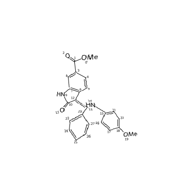 COC(=O)c1ccc2c(c1)NC(=O)C2=C(Nc1ccc(OC)cc1)c1ccccc1